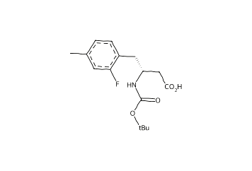 Cc1ccc(C[C@H](CC(=O)O)NC(=O)OC(C)(C)C)c(F)c1